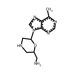 Cc1ncnc2c1ncn2C1CNCC(CN)O1